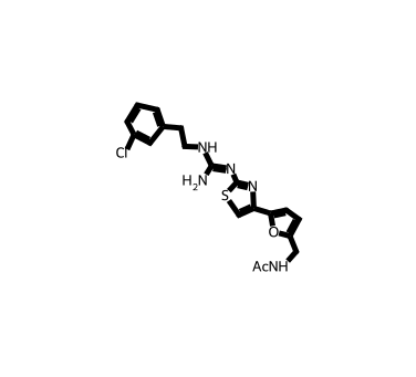 CC(=O)NCc1ccc(-c2csc(/N=C(\N)NCCc3cccc(Cl)c3)n2)o1